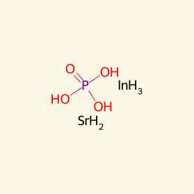 O=P(O)(O)O.[InH3].[SrH2]